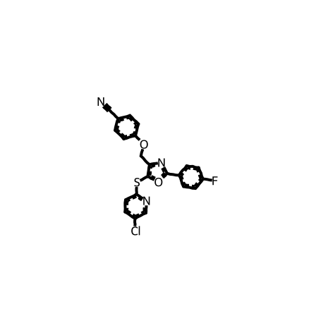 N#Cc1ccc(OCc2nc(-c3ccc(F)cc3)oc2Sc2ccc(Cl)cn2)cc1